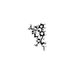 CCCCc1nc(SC)c(C(=O)OCC)n1Cc1ccc(-c2ccccc2S(=O)(=O)NS(=O)(=O)N(C)C)cc1